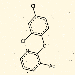 CC(=O)c1cccnc1Oc1ccc(Cl)cc1Cl